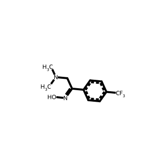 CN(C)CC(=NO)c1ccc(C(F)(F)F)cc1